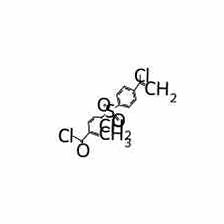 C=C(Cl)c1ccc(S(=O)(=O)C(=C)/C=C\C(=C/C)C(=O)Cl)cc1